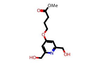 COC(=O)CCCOc1cc(CO)nc(CO)c1